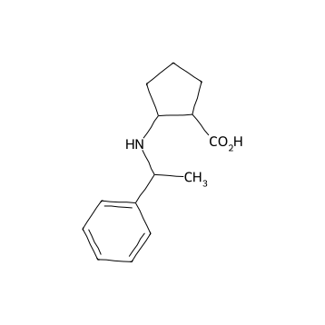 CC(NC1CCCC1C(=O)O)c1ccccc1